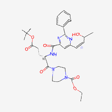 CCOC(=O)N1CCN(C(=O)[C@H](CCC(=O)OC(C)(C)C)NC(=O)c2cc(/C=C\C(C)O)nc(-c3ccccc3)n2)CC1